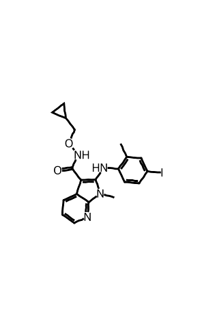 Cc1cc(I)ccc1Nc1c(C(=O)NOCC2CC2)c2cccnc2n1C